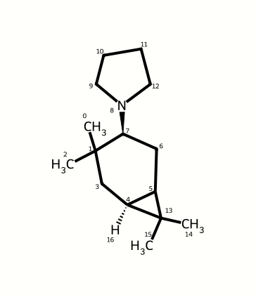 CC1(C)C[C@H]2C(C[C@@H]1N1CCCC1)C2(C)C